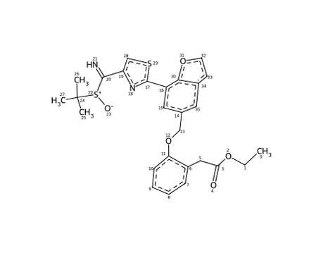 CCOC(=O)Cc1ccccc1OCc1cc(-c2nc(C(=N)[S+]([O-])C(C)(C)C)cs2)c2occc2c1